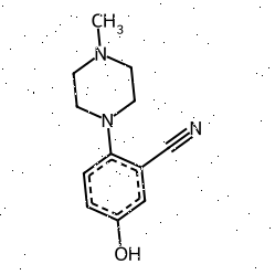 CN1CCN(c2ccc(O)cc2C#N)CC1